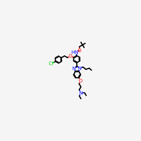 CCCCn1c(-c2ccc(NOCC(C)(C)C)c(OCCc3ccc(Cl)cc3)c2)nc2ccc(OCCCN(CC)CC)cc21